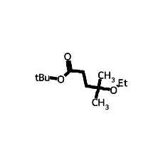 CCOC(C)(C)CCC(=O)OC(C)(C)C